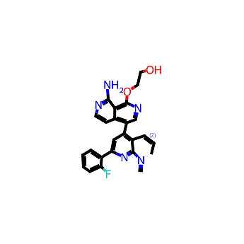 C=Nc1nc(-c2ccccc2F)cc(-c2cnc(OCCO)c3c(N)nccc23)c1/C=C\C